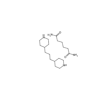 C(CC1CCNCC1)CC1CCNCC1.NC(=O)CCCCC(N)=O